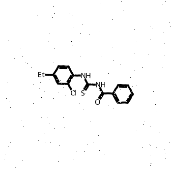 CCc1ccc(NC(=S)NC(=O)c2ccccc2)c(Cl)c1